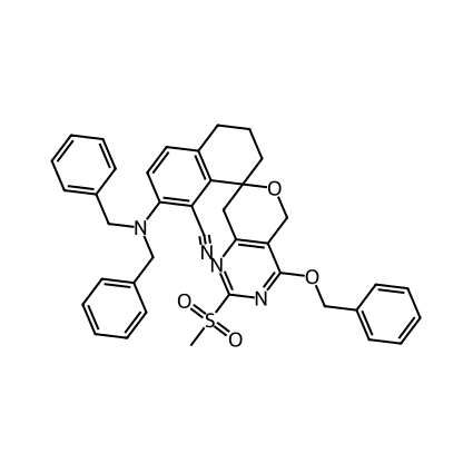 CS(=O)(=O)c1nc2c(c(OCc3ccccc3)n1)COC1(CCCc3ccc(N(Cc4ccccc4)Cc4ccccc4)c(C#N)c31)C2